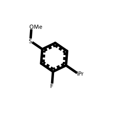 COSc1ccc(C(C)C)c(F)c1